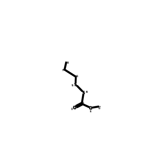 [CH2]OC(=O)SSCCC